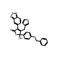 O=C1OC(O)(c2ccc(OCc3ccccc3)cc2)C(Cc2ccsc2)=C1c1ccc2nsnc2c1